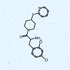 NC(Cc1ccc(Cl)cc1Cl)C(=O)N1CCC(Sc2ccccn2)CC1